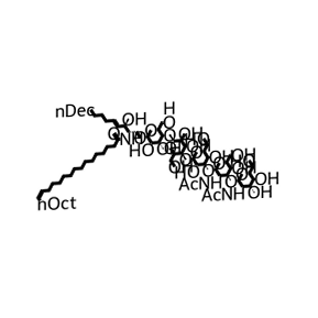 CCCCCCCC/C=C\CCCCCCCCCCCCCC(=O)N[C@@H](CO[C@@H]1OC(CO)[C@@H](O[C@@H]2OC(CO)[C@H](O[C@@H]3OC(CO)[C@H](O)[C@H](O[C@@H]4OC(CO)[C@H](O)[C@H](O[C@H]5OC(CO)[C@H](O)[C@H](O)C5NC(C)=O)C4NC(C)=O)C3O)[C@H](O)C2O)[C@H](O)C1O)[C@H](O)/C=C/CCCCCCCCCCCCC